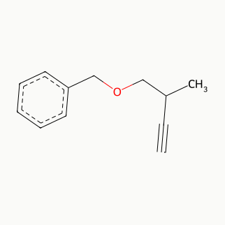 [C]#CC(C)COCc1ccccc1